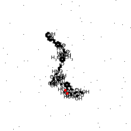 Cc1cc(OCCCC(=O)NCCNC(=O)[C@H](CS(=O)(=O)O)NC(=O)[C@H](CS(=O)(=O)O)NC(=S)Nc2ccc(C[C@@H](CN(CC(=O)O)CC(C)N(CC(=O)O)CC(=O)O)N(CC(=O)O)CC(=O)O)cc2)cc(C)c1S(=O)(=O)NC(CNC(=O)c1ccc(CCc2ccc3c(n2)NCCC3)cc1)C(=O)O